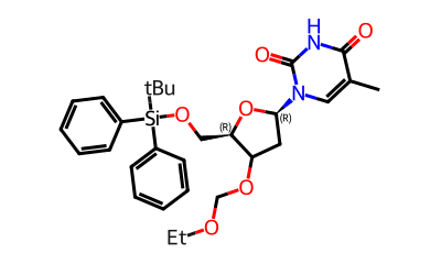 CCOCOC1C[C@H](n2cc(C)c(=O)[nH]c2=O)O[C@@H]1CO[Si](c1ccccc1)(c1ccccc1)C(C)(C)C